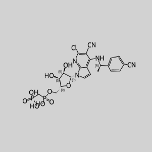 C[C@@H](Nc1c(C#N)c(Cl)nc2c1ccn2[C@@H]1O[C@H](COP(=O)(O)CP(=O)(O)O)[C@@H](O)[C@H]1O)c1ccc(C#N)cc1